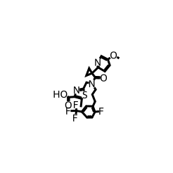 COc1ccc(C2(C(=O)N(CCCc3cc(C(F)(F)F)ccc3F)Cc3nc(C(=O)O)c(C)s3)CC2)nc1